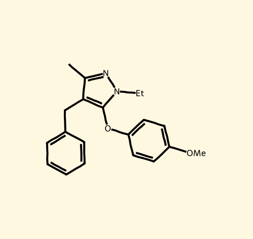 CCn1nc(C)c(Cc2ccccc2)c1Oc1ccc(OC)cc1